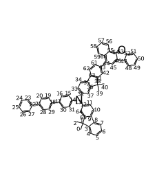 CC1(C)c2ccccc2-c2ccc(N(c3ccc(-c4ccc(-c5ccccc5)cc4)cc3)c3ccc4c(c3)C(C)(C)c3cc(-c5cc6c7ccccc7oc6c6ccccc56)ccc3-4)cc21